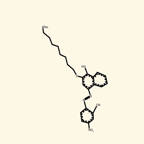 CCCCCCCCCCCCCCCCCCOc1cc(N=Nc2ccc([N+](=O)[O-])cc2C#N)c2ccccc2c1O